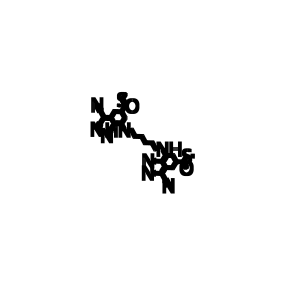 CSC(=O)C1CC(NCCCCCCNC2=C(C#N)C(=C(C#N)C#N)CC(C(=O)SC)C2)=C(C#N)C(=C(C#N)C#N)C1